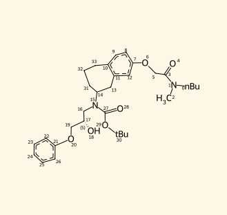 CCCCN(C)C(=O)COc1ccc2c(c1)CC(N(C[C@H](O)COc1ccccc1)C(=O)OC(C)(C)C)CCC2